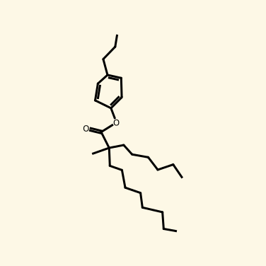 CCCCCCCCC(C)(CCCCCC)C(=O)Oc1ccc(CCC)cc1